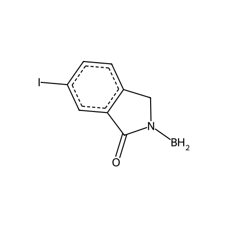 BN1Cc2ccc(I)cc2C1=O